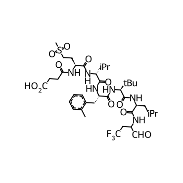 Cc1ccccc1C[C@H](NC(=O)[C@H](NC(=O)[C@H](CCS(C)(=O)=O)NC(=O)CCC(=O)O)C(C)C)C(=O)N[C@H](C(=O)N[C@@H](CC(C)C)C(=O)NC(C=O)CC(F)(F)F)C(C)(C)C